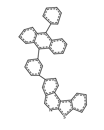 c1ccc(-c2c3ccccc3c(-c3cccc(-c4ccc5c(cnc6sc7ccccc7c65)c4)c3)c3ccccc23)cc1